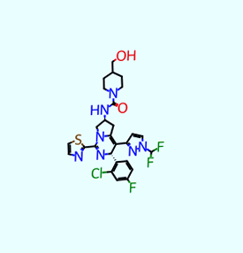 O=C(N[C@H]1CC2=C(c3ccn(C(F)F)n3)[C@H](c3ccc(F)cc3Cl)N=C(c3nccs3)N2C1)N1CCC(CO)CC1